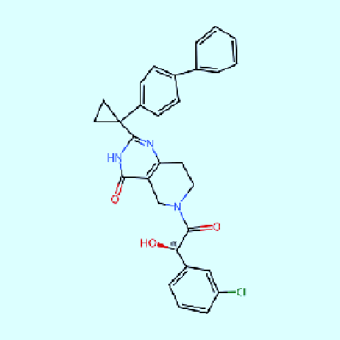 O=C([C@H](O)c1cccc(Cl)c1)N1CCc2nc(C3(c4ccc(-c5ccccc5)cc4)CC3)[nH]c(=O)c2C1